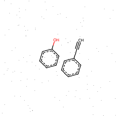 C#Cc1ccccc1.Oc1ccccc1